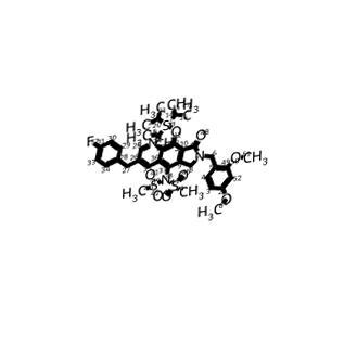 COc1ccc(CN2Cc3c(c(O[Si](C(C)C)(C(C)C)C(C)C)c4ncc(Cc5ccc(F)cc5)cc4c3N(S(C)(=O)=O)S(C)(=O)=O)C2=O)c(OC)c1